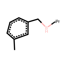 Cc1cccc(CBC(C)C)c1